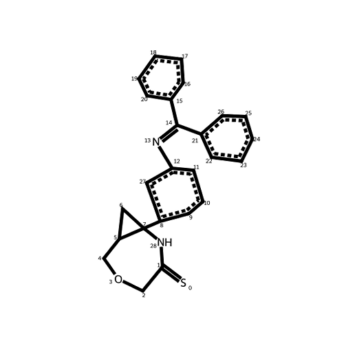 S=C1COCC2CC2(c2cccc(N=C(c3ccccc3)c3ccccc3)c2)N1